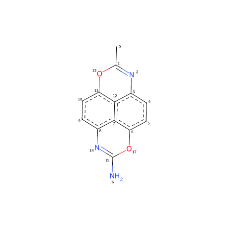 CC1=Nc2ccc3c4c(ccc(c24)O1)N=C(N)O3